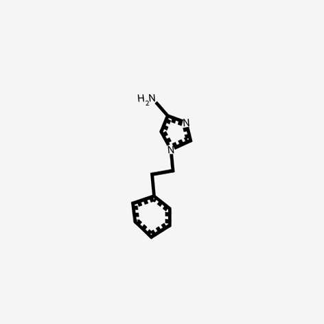 Nc1cn(CCc2ccccc2)cn1